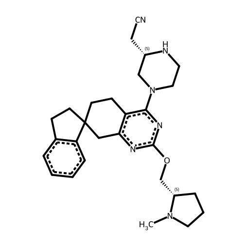 CN1CCC[C@H]1COc1nc2c(c(N3CCN[C@@H](CC#N)C3)n1)CCC1(CCc3ccccc31)C2